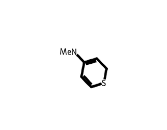 CNC1=CCSC=C1